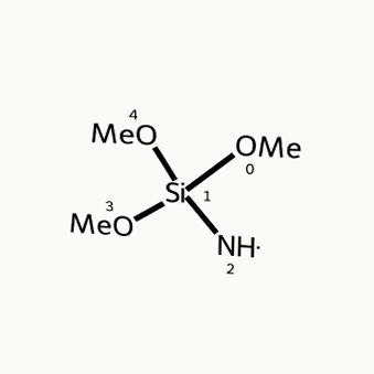 CO[Si]([NH])(OC)OC